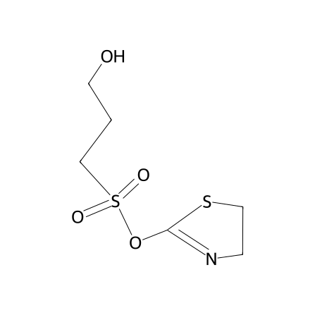 O=S(=O)(CCCO)OC1=NCCS1